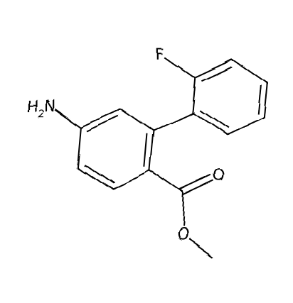 COC(=O)c1ccc(N)cc1-c1ccccc1F